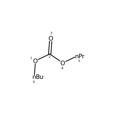 CCC[CH]OC(=O)OCCC